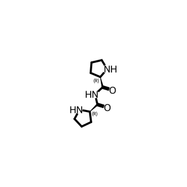 O=C(NC(=O)[C@H]1CCCN1)[C@H]1CCCN1